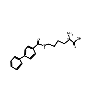 N[C@H](CCCCNC(=O)c1ccc(-c2ccccc2)cc1)C(=O)O